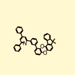 CC1(C)c2ccccc2-c2c1ccc1c2Oc2c(cccc2-c2cccc(-c3cc(-c4ccccc4)cc(-c4ccccc4)n3)c2)O1